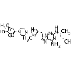 CCCC(C)Nc1nc(N)c2ncc(Cc3cnc(N4CCN(C(=O)CN(C)C(=O)O)CC4)c(C)c3)n2n1